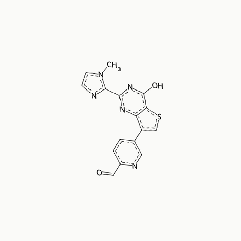 Cn1ccnc1-c1nc(O)c2scc(-c3ccc(C=O)nc3)c2n1